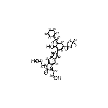 CC(C)(C)CC(C)(C)c1cc(-n2nc3cc4c(cc3n2)n(CCO)c(=O)n4CCO)c(O)c(C(C)(C)c2ccccc2)c1